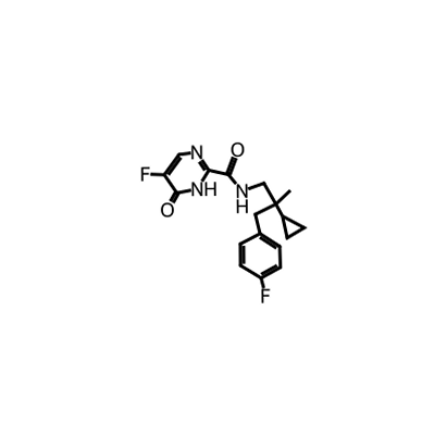 CC(CNC(=O)c1ncc(F)c(=O)[nH]1)(Cc1ccc(F)cc1)C1CC1